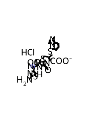 CO/N=C(\C(=O)N[C@@H]1C(=O)N2C(C(=O)[O-])=C(CSc3cccc4n(C)cc[n+]34)CS[C@H]12)c1csc(N)n1.Cl